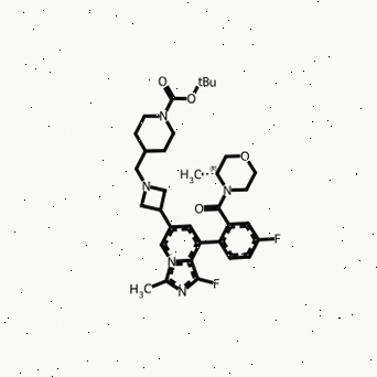 Cc1nc(F)c2c(-c3ccc(F)cc3C(=O)N3CCOC[C@H]3C)cc(C3CN(CC4CCN(C(=O)OC(C)(C)C)CC4)C3)cn12